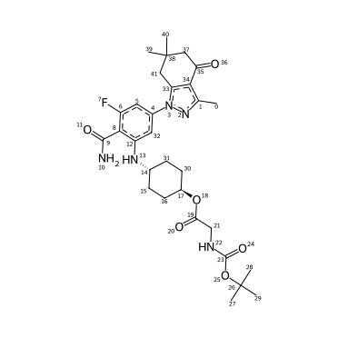 Cc1nn(-c2cc(F)c(C(N)=O)c(N[C@H]3CC[C@H](OC(=O)CNC(=O)OC(C)(C)C)CC3)c2)c2c1C(=O)CC(C)(C)C2